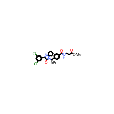 CCC[C@H](c1ccc(C(=O)NCCC(=O)OC)cc1)N1C(=O)C(c2cc(Cl)cc(Cl)c2)=NC12CCCC2